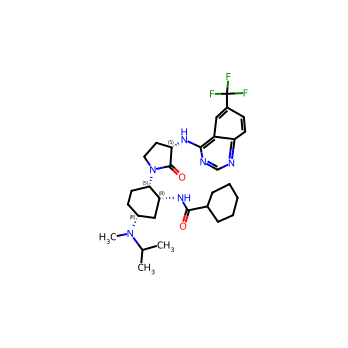 CC(C)N(C)[C@@H]1CC[C@H](N2CC[C@H](Nc3ncnc4ccc(C(F)(F)F)cc34)C2=O)[C@H](NC(=O)C2CCCCC2)C1